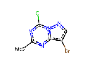 CSc1nc(Cl)n2ncc(Br)c2n1